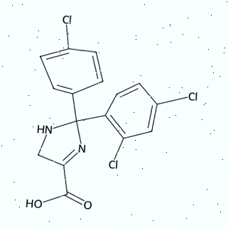 O=C(O)C1=NC(c2ccc(Cl)cc2)(c2ccc(Cl)cc2Cl)NC1